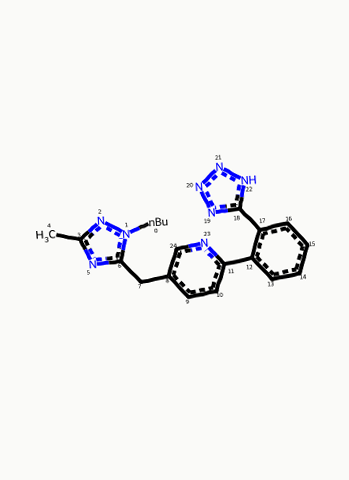 CCCCn1nc(C)nc1Cc1ccc(-c2ccccc2-c2nnn[nH]2)nc1